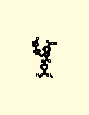 CC(C)N1CCC(NC(=O)c2cc3cc(C(=O)O)ccc3n2Cc2nnc(-c3ccc(Cl)s3)s2)CC1